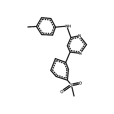 Cc1ccc(Nc2cc(-c3cccc(S(C)(=O)=O)c3)ncn2)cc1